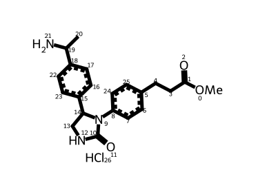 COC(=O)CCc1ccc(N2C(=O)NCC2c2ccc(C(C)N)cc2)cc1.Cl